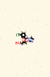 OCC1COC(Cn2ccnc2)(c2cccc(Cl)c2)O1